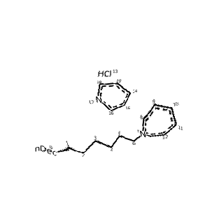 CCCCCCCCCCCCCCCC[n+]1ccccc1.Cl.c1ccncc1